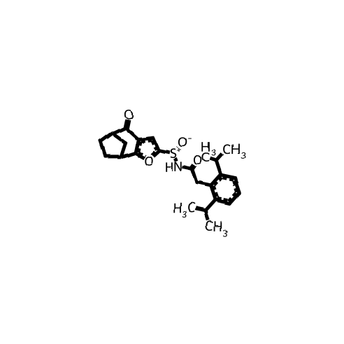 CC(C)c1cccc(C(C)C)c1CC(=O)N[S+]([O-])c1cc2c(o1)C1CCC(C1)C2=O